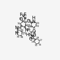 Nc1cc(Cn2c(C(=O)NS(=O)(=O)c3ccccc3)c(-c3ccc[nH]c3=O)c3cc(OC(F)(F)F)ccc32)ccn1